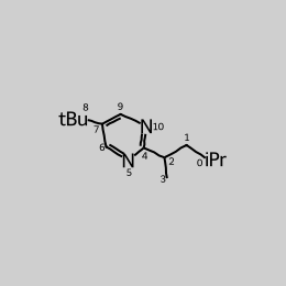 CC(C)CC(C)c1ncc(C(C)(C)C)cn1